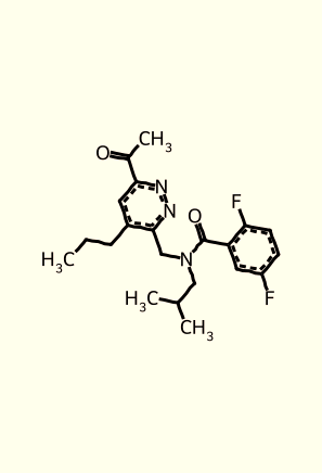 CCCc1cc(C(C)=O)nnc1CN(CC(C)C)C(=O)c1cc(F)ccc1F